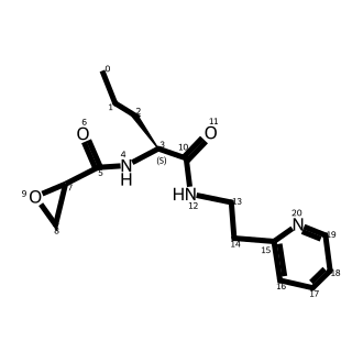 CCC[C@H](NC(=O)C1CO1)C(=O)NCCc1ccccn1